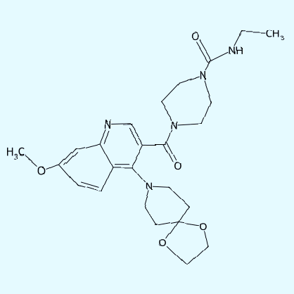 CCNC(=O)N1CCN(C(=O)c2cnc3cc(OC)ccc3c2N2CCC3(CC2)OCCO3)CC1